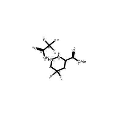 COC(=O)C1CC(F)(F)CNN1.O=C(O)C(F)(F)F